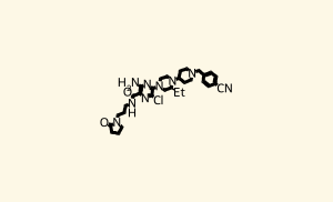 CC[C@H]1CN(c2nc(N)c(C(=O)NCCCN3CCCC3=O)nc2Cl)CCN1C1CCN(Cc2ccc(C#N)cc2)CC1